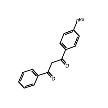 CCCCc1ccc(C(=O)CC(=O)c2ccccc2)cc1